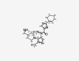 Cn1ncc(N(N)C(=O)c2csc(C3=CCCCC3)n2)c1N1CCC(CN)CC1